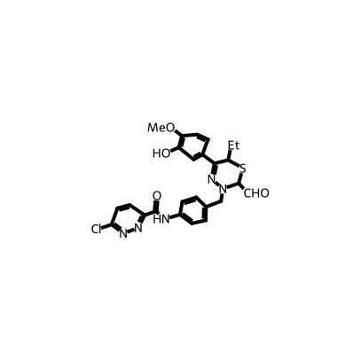 CCC1SC(C=O)N(Cc2ccc(NC(=O)c3ccc(Cl)nn3)cc2)N=C1c1ccc(OC)c(O)c1